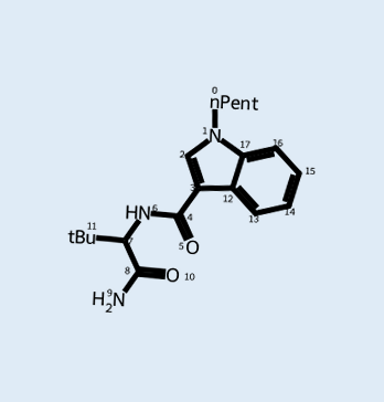 CCCCCn1cc(C(=O)NC(C(N)=O)C(C)(C)C)c2ccccc21